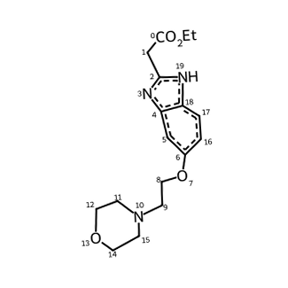 CCOC(=O)Cc1nc2cc(OCCN3CCOCC3)ccc2[nH]1